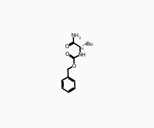 CCC(C)[C@H](NC(=O)OCc1ccccc1)C(N)=O